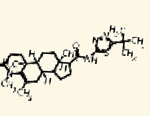 CC1=C2N(C)C(=O)CC[C@]2(C)[C@@H]2CC[C@]3(C)C(C(=O)Nc4nnc(C(C)(C)C)s4)CC[C@H]3[C@@H]2C1